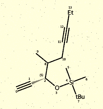 C#C[C@@H](O[Si](C)(C)C(C)(C)C)C(C)CC#CCC